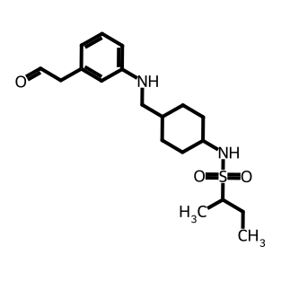 CCC(C)S(=O)(=O)NC1CCC(CNc2cccc(CC=O)c2)CC1